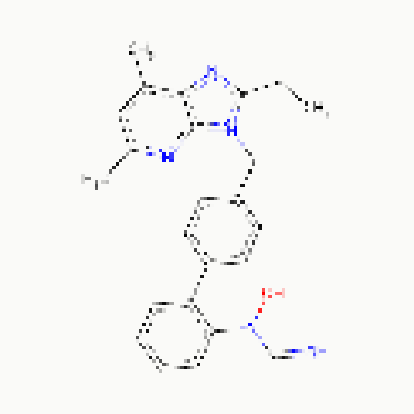 CCc1nc2c(C)cc(C)nc2n1Cc1ccc(-c2ccccc2N(O)C=N)cc1